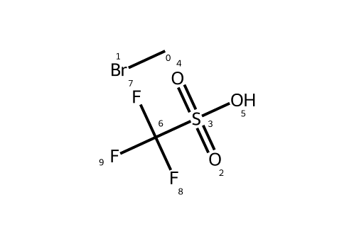 CBr.O=S(=O)(O)C(F)(F)F